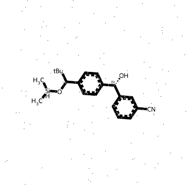 C[SiH](C)OC(c1ccc([C@H](O)c2cccc(C#N)c2)cc1)C(C)(C)C